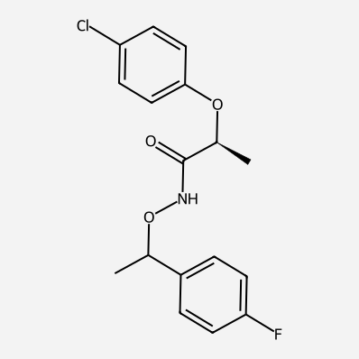 CC(ONC(=O)[C@H](C)Oc1ccc(Cl)cc1)c1ccc(F)cc1